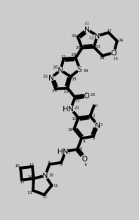 Cc1ncc(C(=O)NCCN2CCCC23CCC3)cc1NC(=O)c1cnn2cc(-c3cnn4c3COCC4)sc12